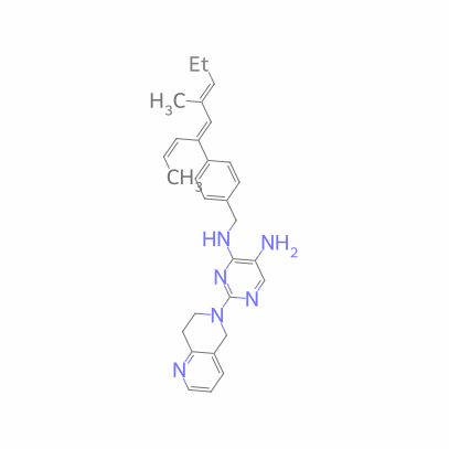 C\C=C/C(=C\C(C)=C\CC)c1ccc(CNc2nc(N3CCc4ncccc4C3)ncc2N)cc1